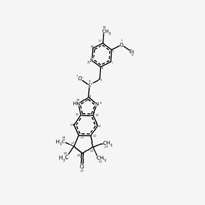 CCOc1cc(C[S+]([O-])c2nc3cc4c(cc3[nH]2)C(C)(C)C(=O)C4(C)C)ncc1C